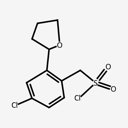 O=S(=O)(Cl)Cc1ccc(Cl)cc1C1CCCO1